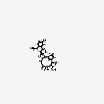 CN/C1=C(\C=N)NC(=O)C(C)CCCC(n2cnc(-c3cc(Cl)ccc3CC#N)cc2=O)c2cc1ccn2